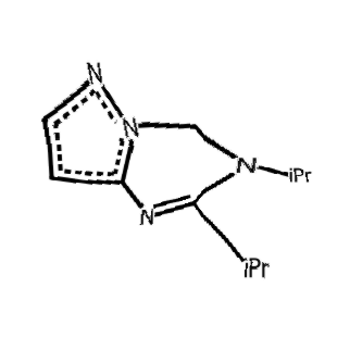 CC(C)C1=Nc2ccnn2CN1C(C)C